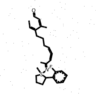 C/C=C(CCCC=C=C/C(C)=N/S1(C)CCCC1c1ccccc1F)\C(C)=C/C=O